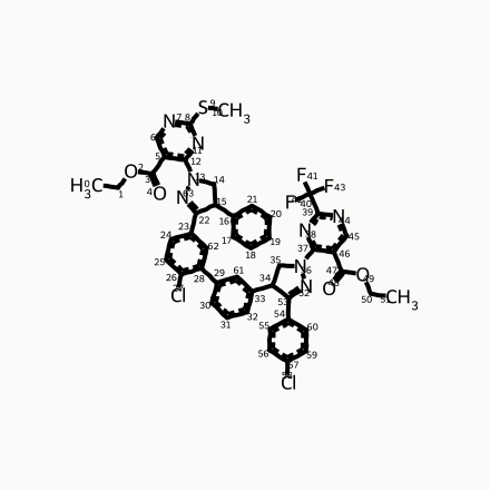 CCOC(=O)c1cnc(SC)nc1N1CC(c2ccccc2)C(c2ccc(Cl)c(-c3cccc(C4CN(c5nc(C(F)(F)F)ncc5C(=O)OCC)N=C4c4ccc(Cl)cc4)c3)c2)=N1